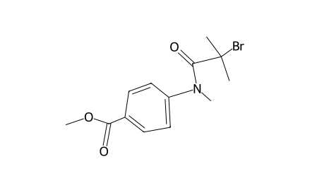 COC(=O)c1ccc(N(C)C(=O)C(C)(C)Br)cc1